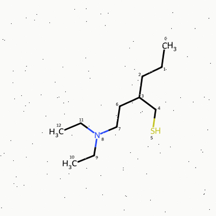 CCCC(CS)CCN(CC)CC